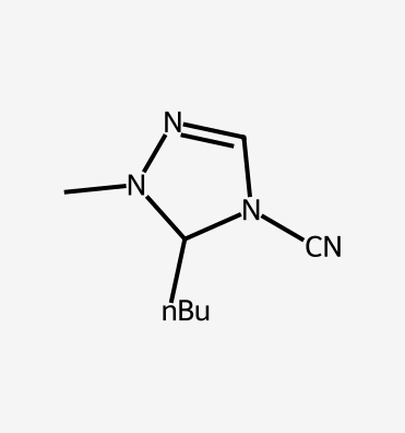 CCCCC1N(C#N)C=NN1C